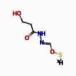 [3H]SOC=NNC(=O)CCO